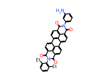 CCc1cccc(CC)c1N1C(=O)c2ccc3c4ccc5c6c(ccc(c7ccc(c2c37)C1=O)c64)C(=O)N(c1cccc(N)c1)C5=O